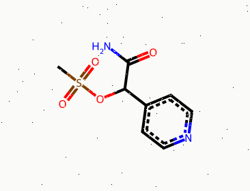 CS(=O)(=O)OC(C(N)=O)c1ccncc1